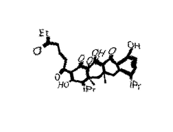 CCC(=O)CCCC(=O)C1=C(O)C(C(C)C)[C@@]2(C)C[C@@]3(C)Cc4c(C(C)C)ccc(O)c4C(=O)C3=C(O)[C@@]2(O)C1=O